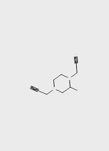 C#CCN1CCN(CC#N)C(F)C1